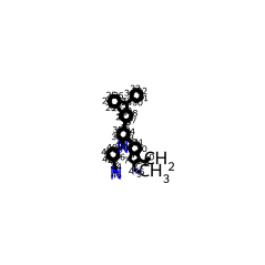 C=CC1=C(/C=C\C)Cc2c1ccc1c3cc(-c4ccc5c(c4)-c4ccccc4C5c4ccccc4)ccc3n(-c3cccc(C#N)c3)c21